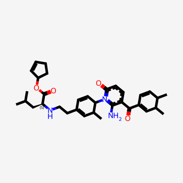 CC(C)C[C@H](NCCC1=CC(C)C(n2c(N)c(C(=O)C3=CC(C)C(C)C=C3)ccc2=O)C=C1)C(=O)OC1C=CCC1